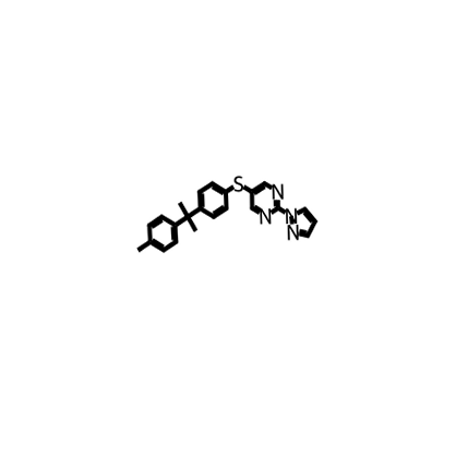 Cc1ccc(C(C)(C)c2ccc(Sc3cnc(-n4cccn4)nc3)cc2)cc1